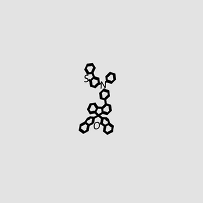 c1ccc(N(c2ccc(-c3cccc4c3-c3ccccc3C43c4ccc5ccccc5c4Oc4c3ccc3ccccc43)cc2)c2ccc3sc4ccccc4c3c2)cc1